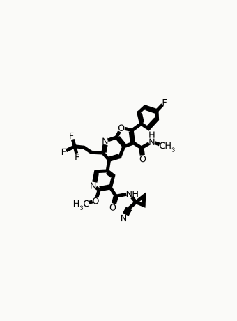 CNC(=O)c1c(-c2ccc(F)cc2)oc2nc(CCC(F)(F)F)c(-c3cnc(OC)c(C(=O)NC4(C#N)CC4)c3)cc12